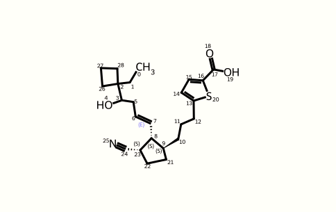 CCC1(C(O)C/C=C/[C@@H]2[C@@H](CCCc3ccc(C(=O)O)s3)CC[C@@H]2C#N)CCC1